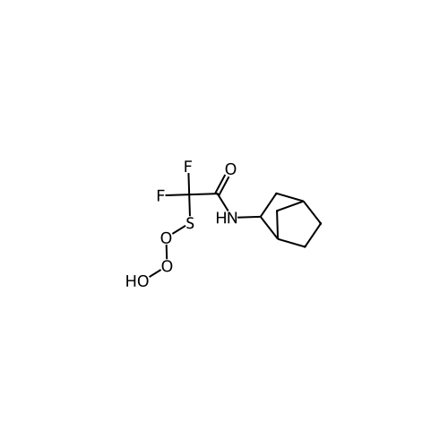 O=C(NC1CC2CCC1C2)C(F)(F)SOOO